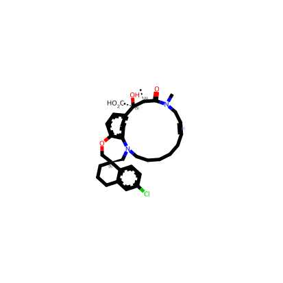 C[C@@H]1C(=O)N(C)C/C=C\CCCCCN2C[C@@]3(CCCc4cc(Cl)ccc43)COc3ccc(cc32)[C@]1(O)C(=O)O